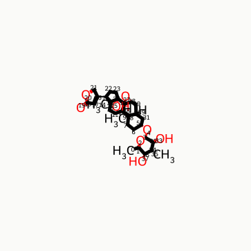 CC1O[C@@H](O[C@H]2CC[C@]3(C)C4CC[C@]5(C)[C@@H](C6=CC(=O)OC6)CC[C@]5(O)[C@@]45O[C@H]5C[C@@H]3C2)C(O)[C@@H](C)[C@H]1O